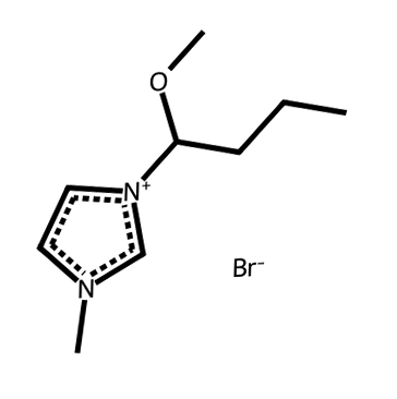 CCCC(OC)[n+]1ccn(C)c1.[Br-]